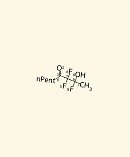 CCCCCC(=O)C(F)(F)C(C)(O)F